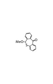 COC1Sc2ccccc2C(=O)c2ccccc21